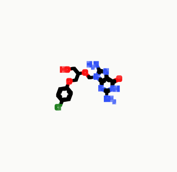 Nc1nc2c(nc(N)n2COC(CO)COc2ccc(Cl)cc2)c(=O)[nH]1